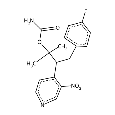 CC(C)(OC(N)=O)C(Cc1ccc(F)cc1)c1ccncc1[N+](=O)[O-]